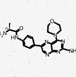 C[C@H](N)C(=O)Nc1ccc(-c2cnc3nc(N)nc(N4CCOCC4)c3n2)cc1